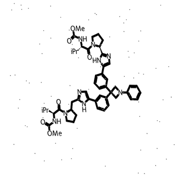 COC(=O)N[C@H](C(=O)N1CCCC1Cc1ncc(-c2cccc(C3(c4cccc(-c5cnc([C@@H]6CCCN6C(=O)[C@@H](NC(=O)OC)C(C)C)[nH]5)c4)CN(c4ccccc4)C3)c2)[nH]1)C(C)C